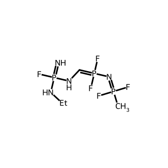 CCNP(=N)(F)NC=P(F)(F)N=P(C)(F)F